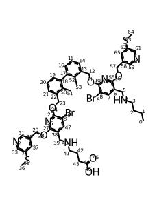 CCCCNCc1cc(Br)c(OCc2cccc(-c3cccc(COc4nc(OCc5cncc(SC)c5)c(CNCCCC(=O)O)cc4Br)c3C)c2C)nc1OCc1cncc(SC)c1